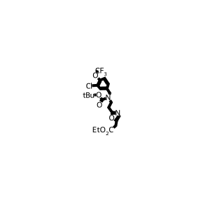 CCOC(=O)Cc1cnc(CCN(Cc2ccc(OC(F)(F)F)c(Cl)c2)C(=O)OC(C)(C)C)o1